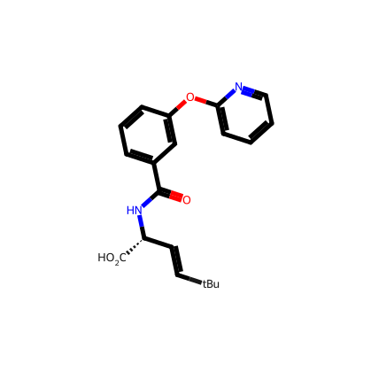 CC(C)(C)/C=C/[C@@H](NC(=O)c1cccc(Oc2ccccn2)c1)C(=O)O